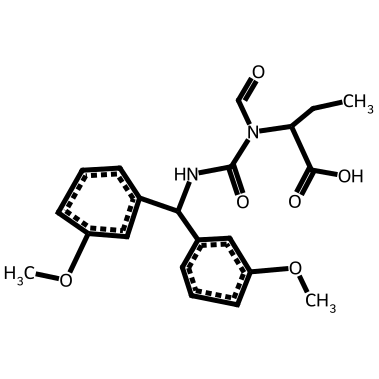 CCC(C(=O)O)N(C=O)C(=O)NC(c1cccc(OC)c1)c1cccc(OC)c1